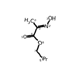 CC(=NO)C(=O)OCC(C)C